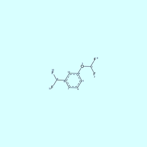 FC(F)Oc1[c]ccc(C(F)F)c1